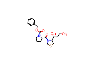 O=C([C@@H]1CCCN1C(=O)OCc1ccccc1)N1CSCC1[C@H](O)CCO